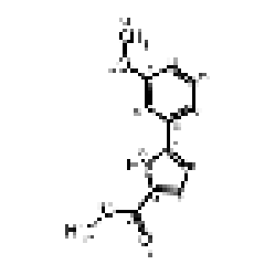 COC(=O)c1ccc(-c2cccc(OC)c2)[nH]1